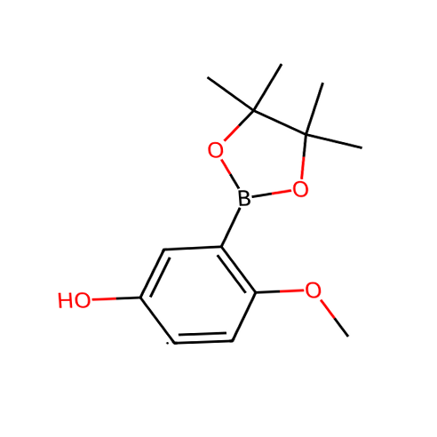 COc1c[c]c(O)cc1B1OC(C)(C)C(C)(C)O1